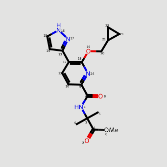 COC(=O)C(C)(C)NC(=O)c1ccc(-c2cc[nH]n2)c(OCC2CC2)n1